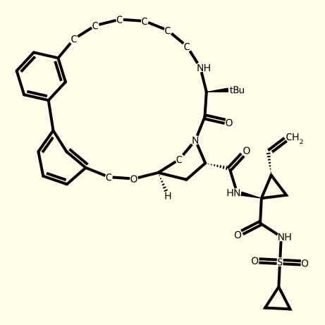 C=C[C@@H]1C[C@]1(NC(=O)[C@@H]1C[C@@H]2CN1C(=O)[C@H](C(C)(C)C)NCCCCCCc1cccc(c1)-c1cccc(c1)CO2)C(=O)NS(=O)(=O)C1CC1